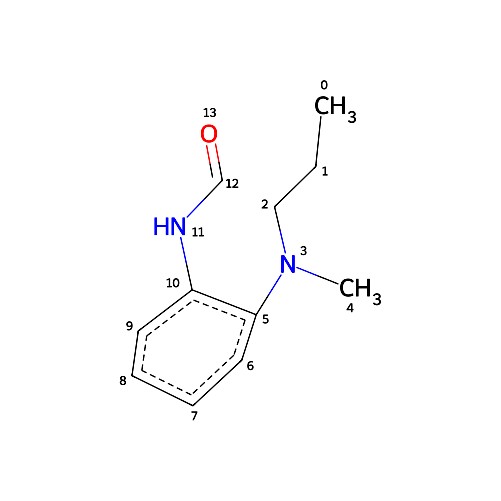 CCCN(C)c1ccccc1NC=O